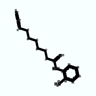 [N-]=[N+]=NCCCCCCC(=O)Nc1ccccc1N